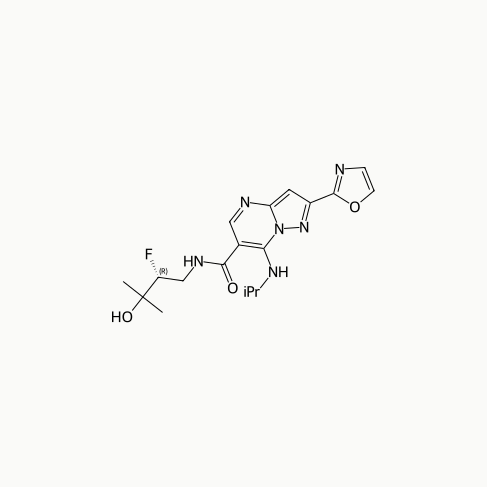 CC(C)Nc1c(C(=O)NC[C@@H](F)C(C)(C)O)cnc2cc(-c3ncco3)nn12